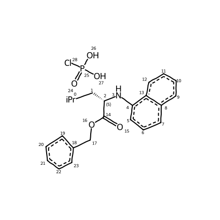 CC(C)C[C@H](Nc1cccc2ccccc12)C(=O)OCc1ccccc1.O=P(O)(O)Cl